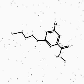 CCCCCc1cc(N)cc(C(=O)OC)c1